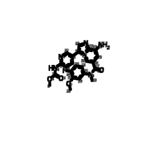 COC(=O)Nc1ccc(-c2cnc3c(N)cc(C(=O)N(C)c4ccc(F)c(OC)c4)cn23)cn1